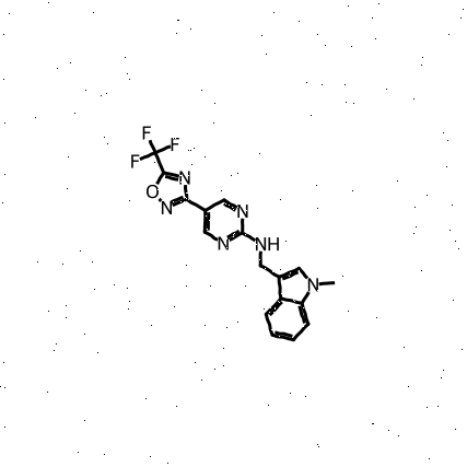 Cn1cc(CNc2ncc(-c3noc(C(F)(F)F)n3)cn2)c2ccccc21